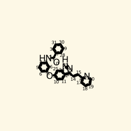 O=C(Nc1cccc(Oc2ccc3c(/C=C/c4ccccn4)n[nH]c3c2)c1)c1ccccc1